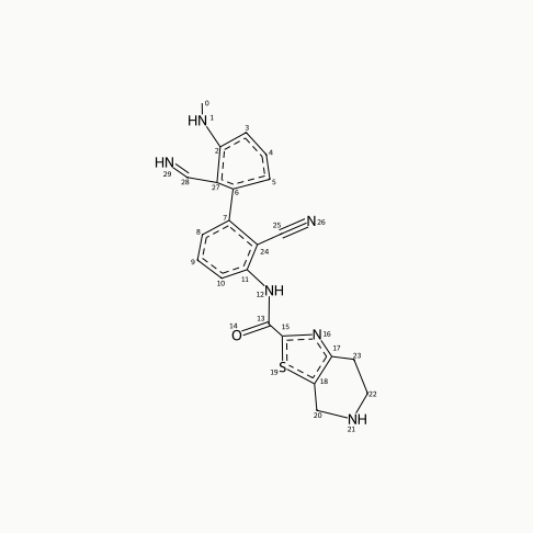 CNc1cccc(-c2cccc(NC(=O)c3nc4c(s3)CNCC4)c2C#N)c1C=N